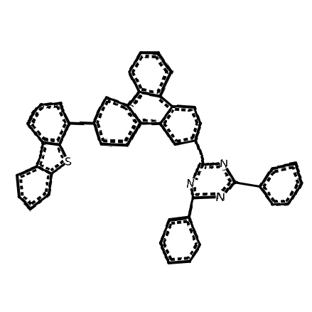 c1ccc(-c2nc(-c3ccccc3)nc(-c3ccc4c5ccccc5c5cc(-c6cccc7c6sc6ccccc67)ccc5c4c3)n2)cc1